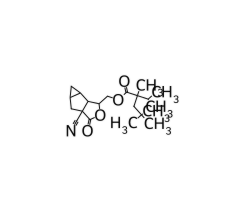 CC(C)C(C)(CC(C)(C)C)C(=O)OCC1OC(=O)C2(C#N)CC3CC3C12